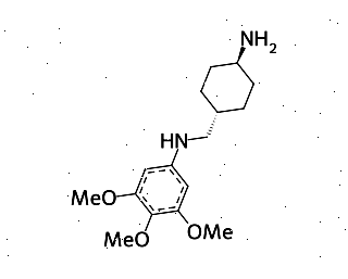 COc1cc(NC[C@H]2CC[C@H](N)CC2)cc(OC)c1OC